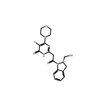 O=C(Cc1nc(N2CCOCC2)c(F)c(=O)[nH]1)N1c2ccccc2C[C@@H]1CO